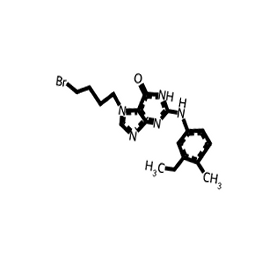 CCc1cc(Nc2nc3ncn(CCCCBr)c3c(=O)[nH]2)ccc1C